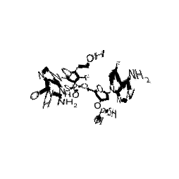 Nc1nc2c(ncn2[C@@H]2O[C@H](CCO)[C@@H](F)[C@H]2P(=O)(S)OC[C@H]2O[C@@H](n3cc(F)c4c(N)ncnc43)C[C@@H]2O[PH](=O)S)c(=O)[nH]1